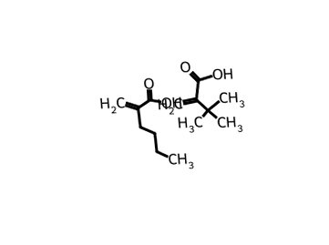 C=C(C(=O)O)C(C)(C)C.C=C(CCCC)C(=O)O